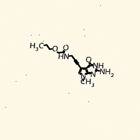 CCCOCC(=O)NCC#Cc1cn(C)c2nc(N)[nH]c(=O)c12